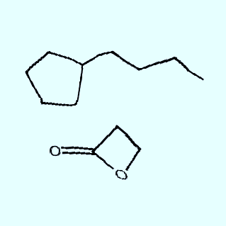 CCCCC1CCCC1.O=C1CCO1